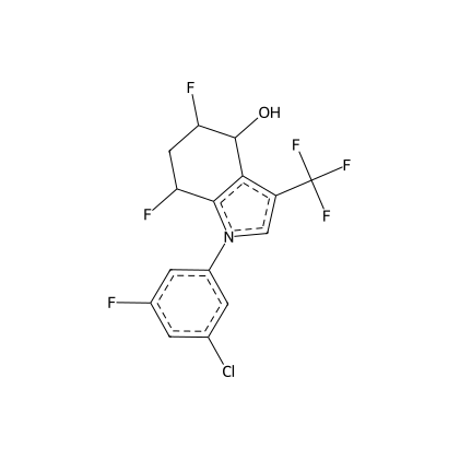 OC1c2c(C(F)(F)F)cn(-c3cc(F)cc(Cl)c3)c2C(F)CC1F